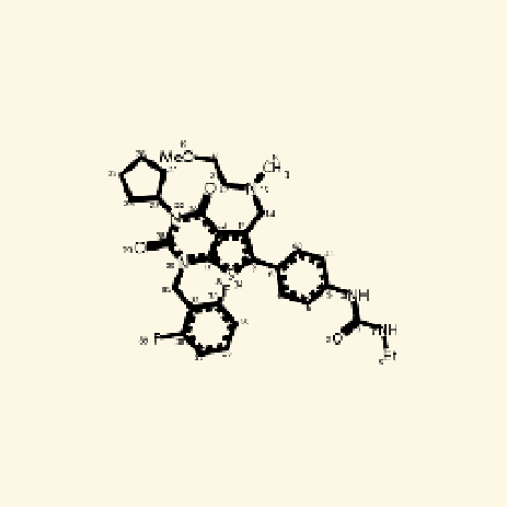 CCNC(=O)Nc1ccc(-c2sc3c(c2CN(C)CCOC)c(=O)n(C2CCCC2)c(=O)n3Cc2c(F)cccc2F)cc1